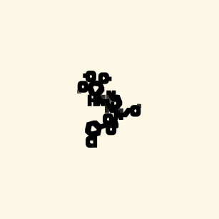 COCCN(C1=COC(c2cccc(Cl)c2)O1)c1ccnc(Nc2cc(OC)c(OC)c(OC)c2)n1